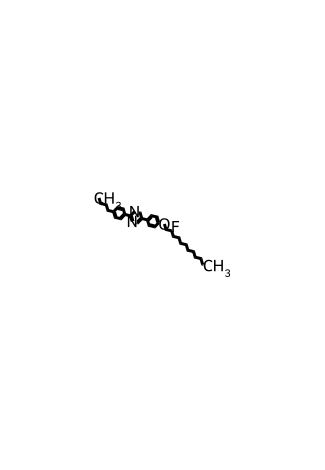 CCCCCCCCCCC(F)COc1ccc(-c2cnc(-c3ccc(CCCC)cc3)nc2)cc1